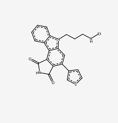 CCNCCCn1c2ccccc2c2c3c(c(-c4ccsc4)cc21)C(=O)NC3=O